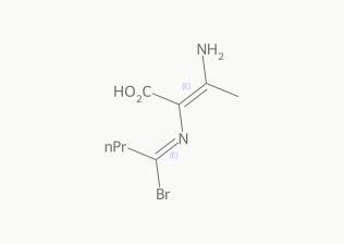 CCC/C(Br)=N\C(C(=O)O)=C(/C)N